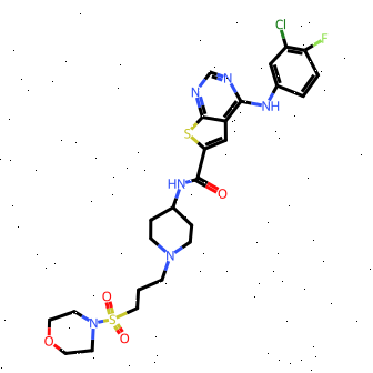 O=C(NC1CCN(CCCS(=O)(=O)N2CCOCC2)CC1)c1cc2c(Nc3ccc(F)c(Cl)c3)ncnc2s1